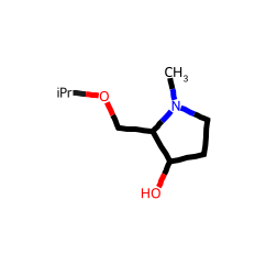 CC(C)OCC1C(O)CCN1C